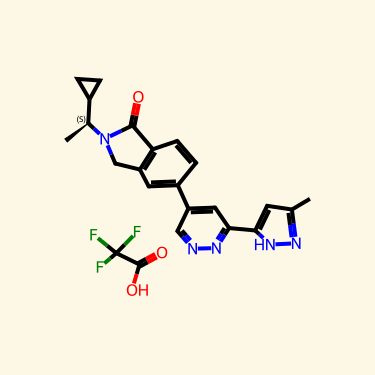 Cc1cc(-c2cc(-c3ccc4c(c3)CN([C@@H](C)C3CC3)C4=O)cnn2)[nH]n1.O=C(O)C(F)(F)F